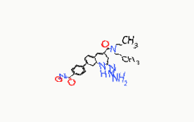 CCCN(CCC)C(=O)C1=CC2=CC=C(c3ccc(C(=O)N=O)cc3)CC2NC(N=NN)C1